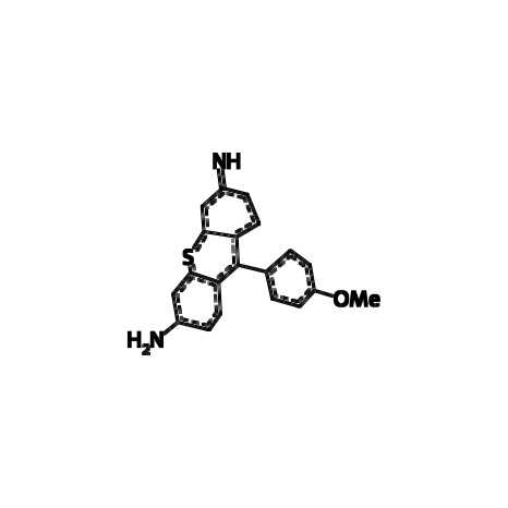 COc1ccc(-c2c3ccc(=N)cc-3sc3cc(N)ccc23)cc1